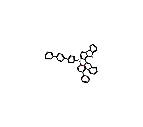 c1ccc(-c2ccc(-c3ccc(N(c4ccc(-c5ccccc5)cc4)c4ccc5c(sc6ccccc65)c4-c4ccc5ccccc5c4)cc3)cc2)cc1